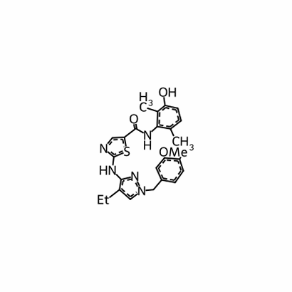 CCc1cn(Cc2ccc(OC)cc2)nc1Nc1ncc(C(=O)Nc2c(C)ccc(O)c2C)s1